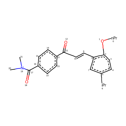 CCCOc1ccc(C(C)C)cc1C=CC(=O)c1ccc(C(=O)N(C)C)cc1